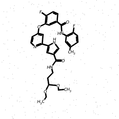 CCOC(CCNC(=O)c1c[nH]c(-c2cc(Oc3cc(C(=O)Nc4cc(C)ccc4F)ccc3F)ccn2)c1)OCC